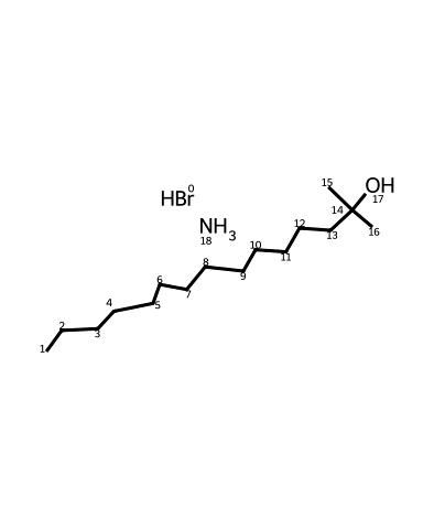 Br.CCCCCCCCCCCCCC(C)(C)O.N